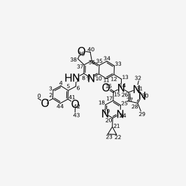 COc1ccc(CNc2nc3cc(CN(C(=O)c4cnc(C5CC5)nc4)c4cc(C)nn4C)ccc3c3c2COC3)c(OC)c1